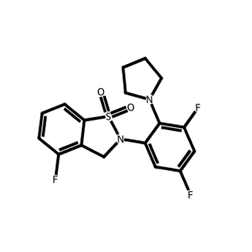 O=S1(=O)c2cccc(F)c2CN1c1cc(F)cc(F)c1N1CCCC1